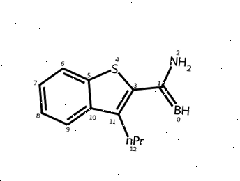 B=C(N)c1sc2ccccc2c1CCC